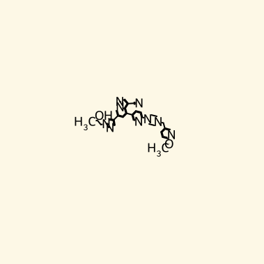 COc1ccc(CN2CCN(c3ccc(-c4cc(-c5cnn(CC(C)O)c5)cn5ncc(C#N)c45)cn3)CC2)cn1